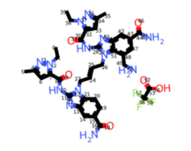 CCn1nc(C)cc1C(=O)Nc1nc2cc(C(N)=O)ccc2n1C/C=C/Cn1c(NC(=O)c2cc(C)nn2CC)nc2cc(C(N)=O)cc(CN)c21.O=C(O)C(F)(F)F